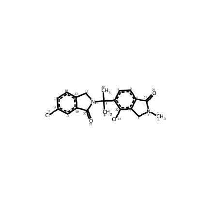 CN1Cc2c(ccc(C(C)(C)N3Cc4ccc(Cl)cc4C3=O)c2Cl)C1=O